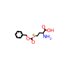 N[C@@H](CCSC(=O)OCc1ccccc1)C(=O)O